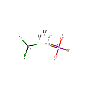 FB(F)F.[Li+].[Li+].[Li+].[O-]P([O-])(=S)[S-]